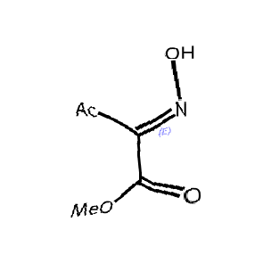 COC(=O)/C(=N/O)C(C)=O